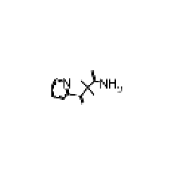 C=C(N)C(C)(C)C(=C)c1ccccn1